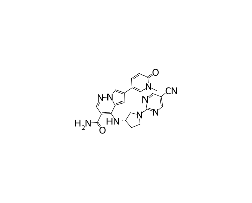 Cn1cc(-c2cc3c(N[C@H]4CCN(c5ncc(C#N)cn5)C4)c(C(N)=O)cnn3c2)ccc1=O